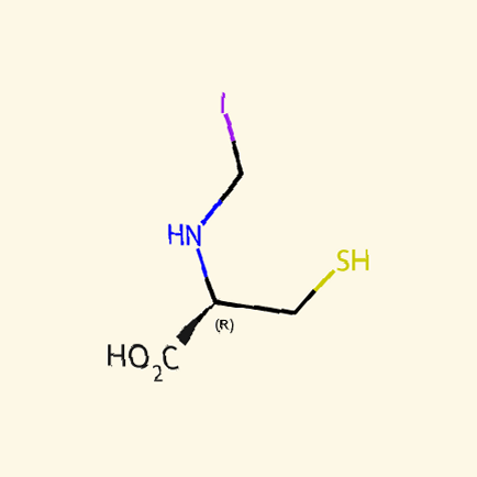 O=C(O)[C@H](CS)NCI